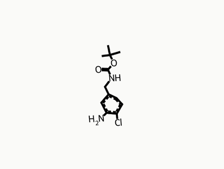 CC(C)(C)OC(=O)NCc1ccc(Cl)c(N)c1